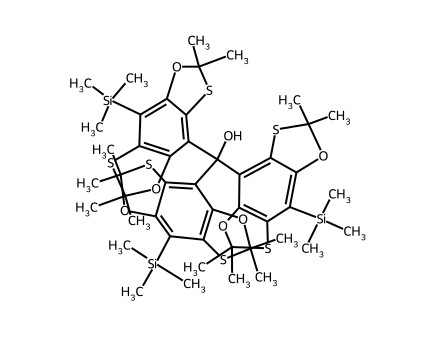 CC1(C)Oc2c(c(C(O)(c3c4c(c([Si](C)(C)C)c5c3SC(C)(C)O5)SC(C)(C)O4)c3c4c(c([Si](C)(C)C)c5c3SC(C)(C)O5)SC(C)(C)O4)c3c(c2[Si](C)(C)C)SC(C)(C)O3)S1